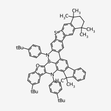 CC(C)(C)c1ccc(N2B3c4oc5ccc(C(C)(C)C)cc5c4N(c4ccc(C(C)(C)C)cc4)c4c3c(cc3c4C(C)(C)c4ccccc4-3)-c3cc4c(cc32)sc2cc3c(cc24)C(C)(C)CCC3(C)C)cc1